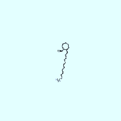 CCCCCCCCCCCCC1CCCCCC1C=O